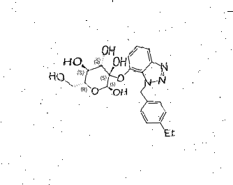 CCc1ccc(Cn2nnc3cccc(O[C@]4(O)[C@@H](O)O[C@H](CO)[C@@H](O)[C@@H]4O)c32)cc1